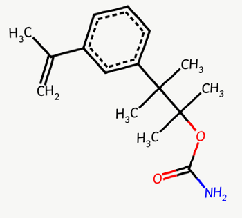 C=C(C)c1cccc(C(C)(C)C(C)(C)OC(N)=O)c1